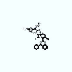 C#CC1=C(C(=O)OC(c2ccccc2)c2ccccc2)N2C(=O)C(NC(=O)/C(=N\OCC)c3nsc(N)n3)[C@H]2SC1